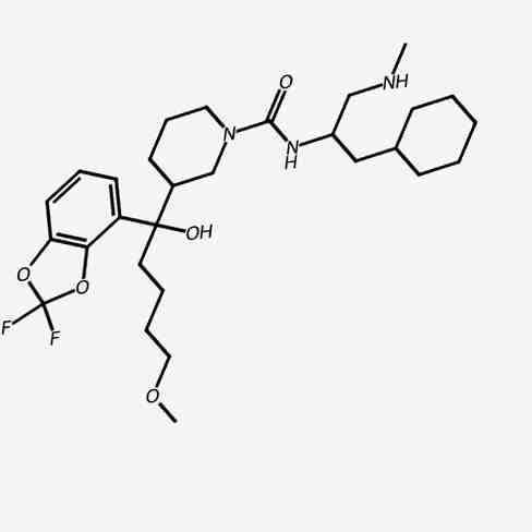 CNCC(CC1CCCCC1)NC(=O)N1CCCC(C(O)(CCCCOC)c2cccc3c2OC(F)(F)O3)C1